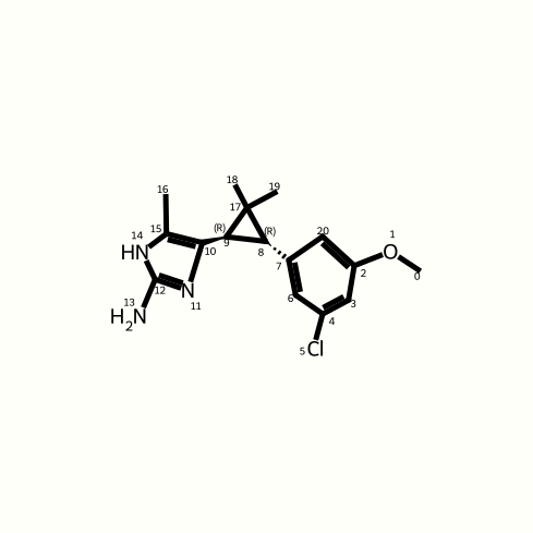 COc1cc(Cl)cc([C@@H]2[C@@H](c3nc(N)[nH]c3C)C2(C)C)c1